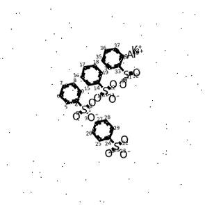 O=S(=O)([O-])c1ccccc1.O=S(=O)([O-])c1ccccc1.O=S(=O)([O-])c1ccccc1.O=[S-](=O)c1ccccc1.[Al+3].[K+]